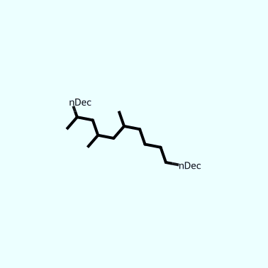 CCCCCCCCCCCCCCC(C)CC(C)CC(C)CCCCCCCCCC